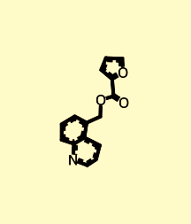 O=C(OCc1cccc2ncccc12)c1ccco1